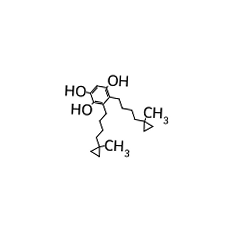 CC1(CCCCc2c(O)cc(O)c(O)c2CCCCC2(C)CC2)CC1